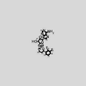 C[C@@]1(O)[C@H](O)C(O[P@]2(=O)OCC[C@H](c3cccc(F)c3F)O2)O[C@H]1n1cnc2c(N)ncnc21